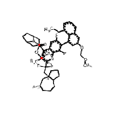 CCc1cccc2cc(OCOC)cc(-c3c(F)cc4c(N5CC6CCC(C5)N6C(=O)OC(C)(C)C)nc(C(F)(F)C[C@@]56CCCC5CCC[C@H](F)C6)nc4c3F)c12